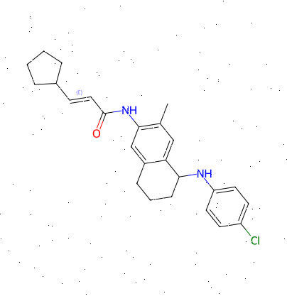 Cc1cc2c(cc1NC(=O)/C=C/C1CCCC1)CCCC2Nc1ccc(Cl)cc1